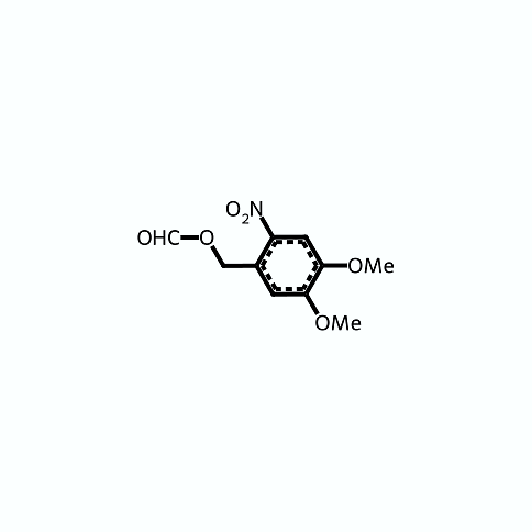 COc1cc(COC=O)c([N+](=O)[O-])cc1OC